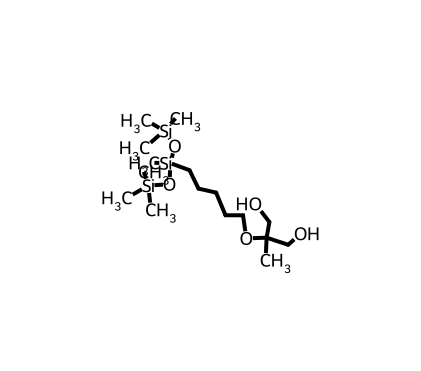 CC(CO)(CO)OCCCCC[Si](C)(O[Si](C)(C)C)O[Si](C)(C)C